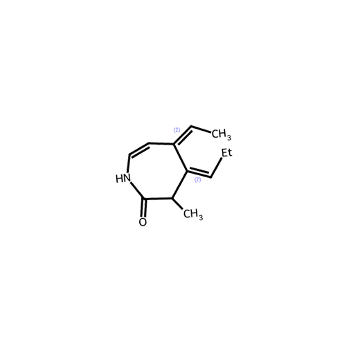 C/C=C1/C=CNC(=O)C(C)/C1=C/CC